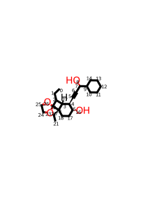 CCC1[C@@H]2[C@@H](C#C[C@@H](O)C3CCCCC3)[C@H](O)CC[C@]2(CC)C12OCCO2